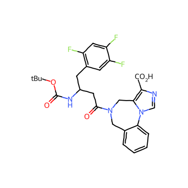 CC(C)(C)OC(=O)NC(CC(=O)N1Cc2ccccc2-n2cnc(C(=O)O)c2C1)Cc1cc(F)c(F)cc1F